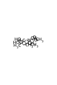 COC(=O)[C@]1(C)CC[C@]2(C)CC=C3[C@]4(C)C=Cc5c(cc(O)c(O)c5C)[C@]4(C)CC[C@@]3(C)[C@@H]2C1